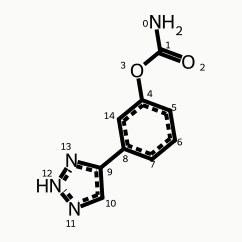 NC(=O)Oc1cccc(-c2cn[nH]n2)c1